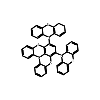 C1=CC2=C(CC1)Sc1ccccc1N2c1cc(N2c3ccccc3Sc3ccccc32)c2c3c1Sc1ccccc1B3c1ccccc1S2